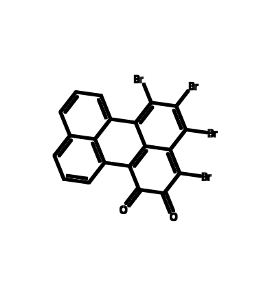 O=c1c(Br)c2c(Br)c(Br)c(Br)c3c4cccc5cccc(c(c1=O)c23)c54